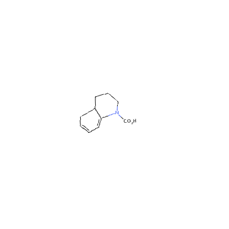 O=C(O)N1CCCC2CC=CC=C21